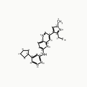 Cn1cc(-c2cnc3ccc(Nc4cc(C5CCCC5)cnn4)nc3c2)c(CF)n1